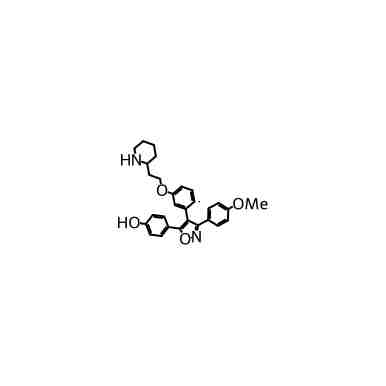 COc1ccc(-c2noc(-c3ccc(O)cc3)c2-c2[c]ccc(OCCC3CCCCN3)c2)cc1